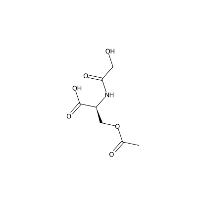 CC(=O)OC[C@H](NC(=O)CO)C(=O)O